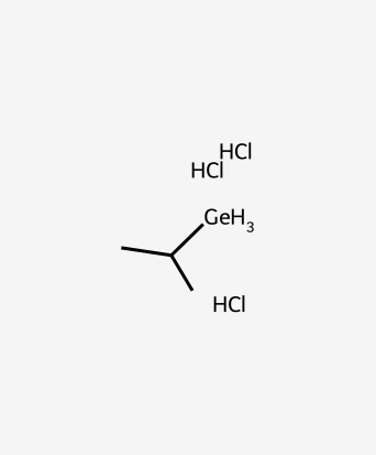 C[CH](C)[GeH3].Cl.Cl.Cl